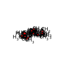 C=CCOC(=O)C(=O)C(NC(=O)C(C)NNc1ccc(COC(=O)N2c3cc(OCCCCCOc4cc5c(cc4OC)C(=O)N4C=C(C)CC4C(O[Si](C)(C)C(C)(C)C)N5C(=O)O)c(OC)cc3C(=O)N3C=C(C)CC3[C@@H]2O[Si](C)(C)C(C)(C)C)cc1)C(C)C